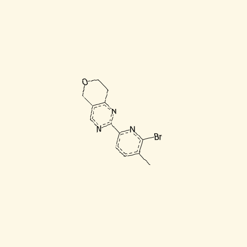 Cc1ccc(-c2ncc3c(n2)CCOC3)nc1Br